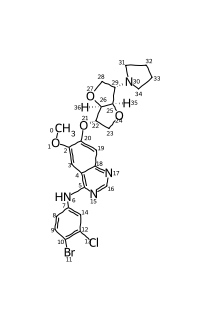 COc1cc2c(Nc3ccc(Br)c(Cl)c3)ncnc2cc1O[C@H]1CO[C@H]2[C@@H]1OC[C@@H]2N1CCCC1